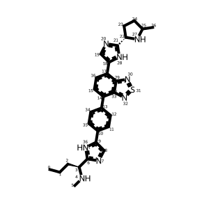 CCC[C@H](NC)c1ncc(-c2ccc(-c3ccc(-c4cnc([C@@H]5CCC(C)N5)[nH]4)c4nsnc34)cc2)[nH]1